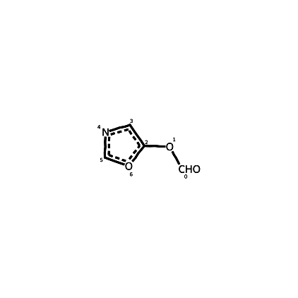 O=COc1cnco1